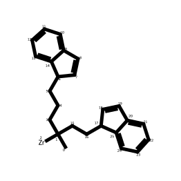 C[C]([Zr])(CCCC1C=Cc2ccccc21)CCC1C=Cc2ccccc21